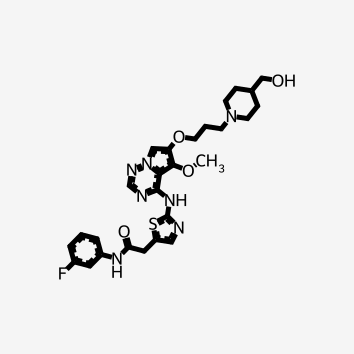 COc1c(OCCCN2CCC(CO)CC2)cn2ncnc(Nc3ncc(CC(=O)Nc4cccc(F)c4)s3)c12